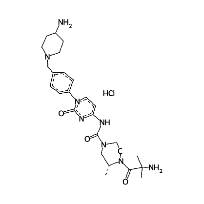 C[C@@H]1CN(C(=O)Nc2ccn(-c3ccc(CN4CCC(N)CC4)cc3)c(=O)n2)CCN1C(=O)C(C)(C)N.Cl